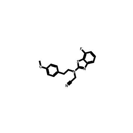 COc1ccc(CCN(CC#N)c2nc3cccc(F)c3s2)cc1